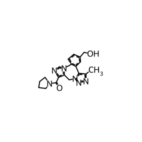 Cc1nnn2c1-c1cc(CO)ccc1-n1cnc(C(=O)N3CCCC3)c1C2